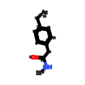 CCNC(=O)Cc1ccc(CC(C)=O)cc1